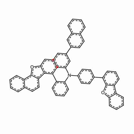 c1cc(-c2ccc3ccccc3c2)cc(N(c2ccc(-c3cccc4c3oc3ccccc34)cc2)c2ccccc2-c2cccc3oc4c5ccccc5ccc4c23)c1